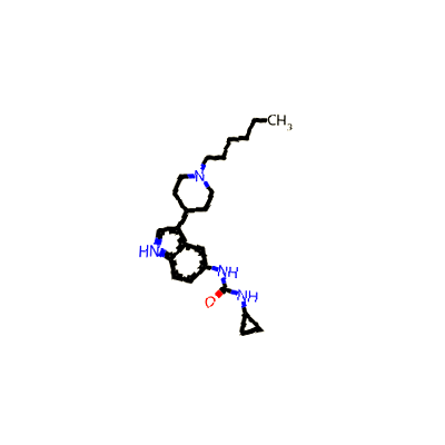 CCCCCCN1CCC(c2c[nH]c3ccc(NC(=O)NC4CC4)cc23)CC1